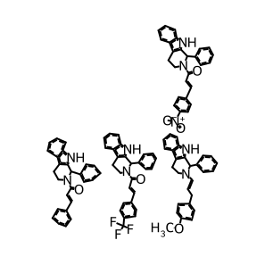 COc1ccc(C/C=C/N2CCc3c([nH]c4ccccc34)C2c2ccccc2)cc1.O=C(/C=C/c1ccc(C(F)(F)F)cc1)N1CCc2c([nH]c3ccccc23)C1c1ccccc1.O=C(/C=C/c1ccc([N+](=O)[O-])cc1)N1CCc2c([nH]c3ccccc23)C1c1ccccc1.O=C(/C=C/c1ccccc1)N1CCc2c([nH]c3ccccc23)C1c1ccccc1